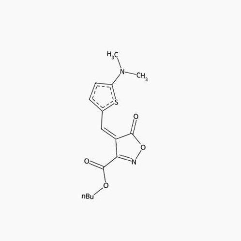 CCCCOC(=O)C1=NOC(=O)C1=Cc1ccc(N(C)C)s1